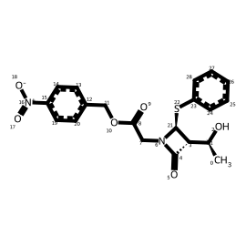 C[C@H](O)[C@@H]1C(=O)N(CC(=O)OCc2ccc([N+](=O)[O-])cc2)[C@H]1Sc1ccccc1